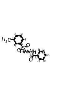 Cc1cccc(S(=O)(=O)NNC(=O)c2cccnc2)c1